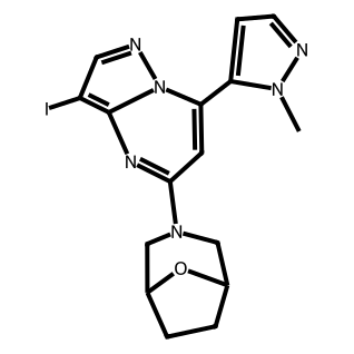 Cn1nccc1-c1cc(N2CC3CCC(C2)O3)nc2c(I)cnn12